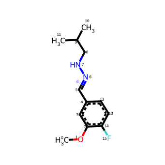 COc1cc(/C=N/NCC(C)C)ccc1F